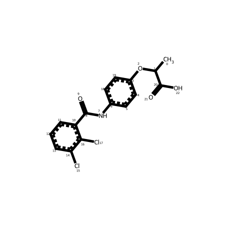 CC(Oc1ccc(NC(=O)c2cccc(Cl)c2Cl)cc1)C(=O)O